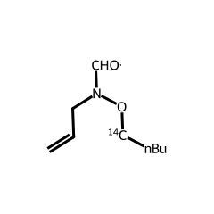 C=CCN([C]=O)O[14CH2]CCCC